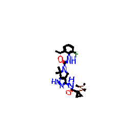 CCc1cccc(F)c1NC(=O)N1Cc2c(NC(=O)C3(S(C)(C)C)CC3)n[nH]c2C1(C)C